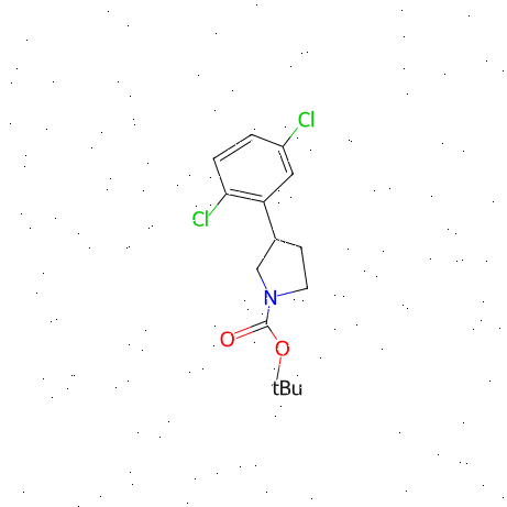 CC(C)(C)OC(=O)N1CCC(c2cc(Cl)ccc2Cl)C1